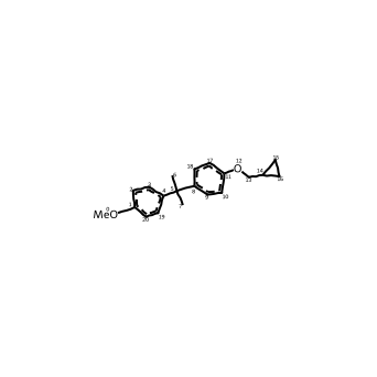 COc1ccc(C(C)(C)c2ccc(OCC3CC3)cc2)cc1